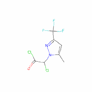 Cc1cc(C(F)(F)F)nn1C(Cl)C(=O)Cl